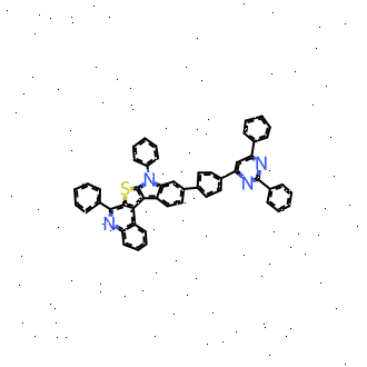 c1ccc(-c2cc(-c3ccc(-c4ccc5c6c7c(sc6n(-c6ccccc6)c5c4)c(-c4ccccc4)nc4ccccc47)cc3)nc(-c3ccccc3)n2)cc1